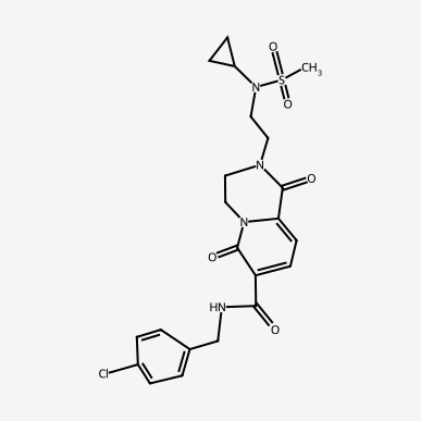 CS(=O)(=O)N(CCN1CCn2c(ccc(C(=O)NCc3ccc(Cl)cc3)c2=O)C1=O)C1CC1